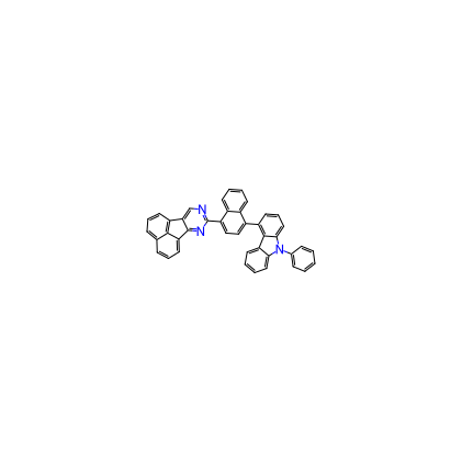 c1ccc(-n2c3ccccc3c3c(-c4ccc(-c5ncc6c(n5)-c5cccc7cccc-6c57)c5ccccc45)cccc32)cc1